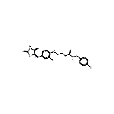 O=C(CCCOc1ccc(/C=C2/SC(=O)NC2=O)cc1Br)NCc1ccc(Cl)cc1